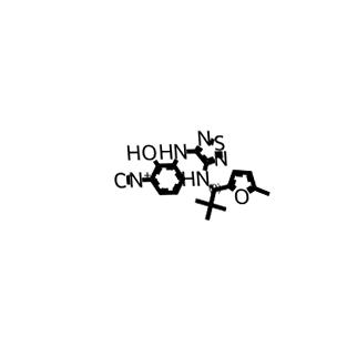 [C-]#[N+]c1cccc(Nc2nsnc2N[C@@H](c2ccc(C)o2)C(C)(C)C)c1O